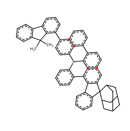 CC1(C)c2ccccc2-c2cccc(-c3ccc(N(c4ccccc4-c4ccccc4)c4ccccc4-c4cccc5c4-c4ccccc4C54C5CC6CC(C5)CC4C6)cc3)c21